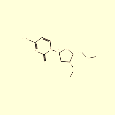 COC[C@H]1O[C@H](n2ccc(N)nc2=O)C[C@@H]1OC